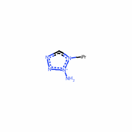 CC(C)n1cnn[n+]1N